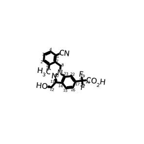 Cc1cccc(C#N)c1Cn1nc(CO)c2ccc(C(F)(F)C(=O)O)cc21